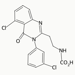 O=C(O)NCCc1nc2cccc(Cl)c2c(=O)n1-c1cccc(Cl)c1